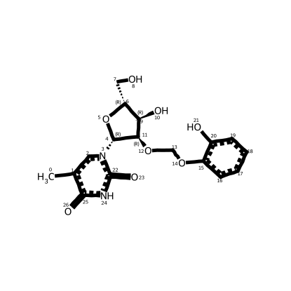 Cc1cn([C@@H]2O[C@H](CO)[C@@H](O)[C@H]2OCOc2ccccc2O)c(=O)[nH]c1=O